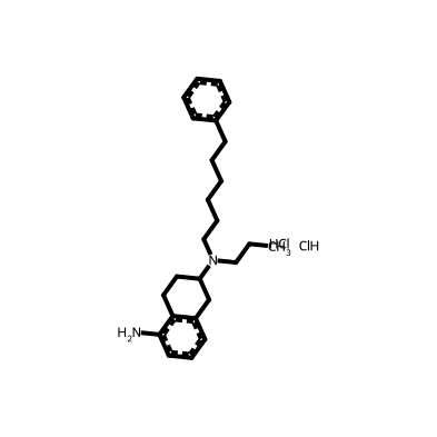 CCCN(CCCCCCc1ccccc1)C1CCc2c(N)cccc2C1.Cl.Cl